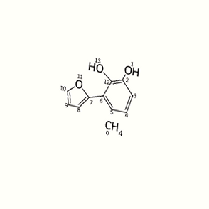 C.Oc1cccc(-c2ccco2)c1O